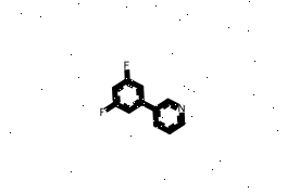 Fc1cc(F)cc(-c2cc[c]nc2)c1